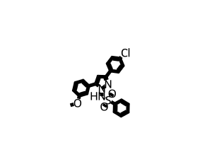 COc1cccc(-c2cc(-c3ccc(Cl)cc3)nn2NS(=O)(=O)c2ccccc2)c1